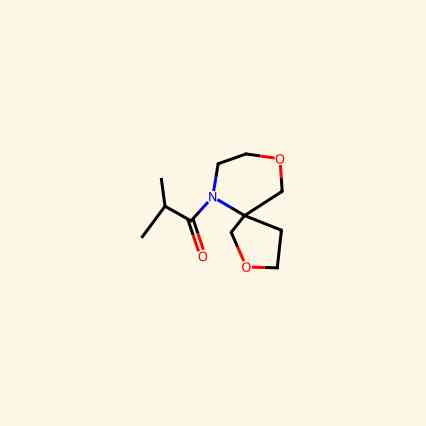 CC(C)C(=O)N1CCOCC12CCOC2